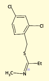 CC/C(=N/C)SCc1ccc(Cl)cc1Cl